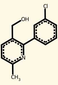 Cc1ccc(CO)c(-c2cccc(Cl)c2)n1